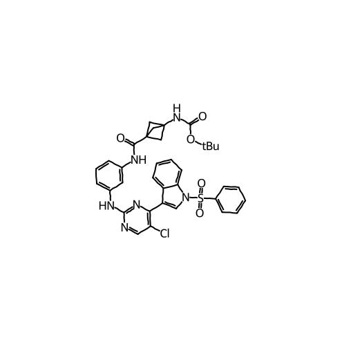 CC(C)(C)OC(=O)NC12CC(C(=O)Nc3cccc(Nc4ncc(Cl)c(-c5cn(S(=O)(=O)c6ccccc6)c6ccccc56)n4)c3)(C1)C2